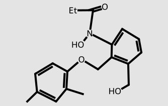 CCC(=O)N(O)c1cccc(CO)c1COc1ccc(C)cc1C